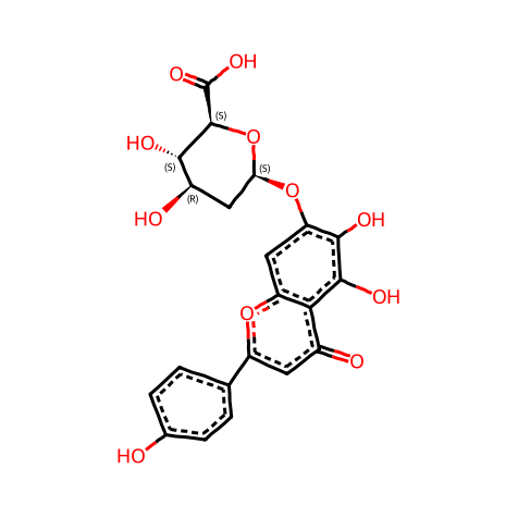 O=C(O)[C@H]1O[C@@H](Oc2cc3oc(-c4ccc(O)cc4)cc(=O)c3c(O)c2O)C[C@@H](O)[C@@H]1O